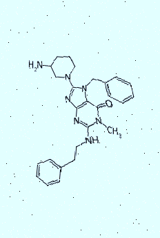 Cn1c(NCCc2ccccc2)nc2nc(N3CCCC(N)C3)n(Cc3ccccc3)c2c1=O